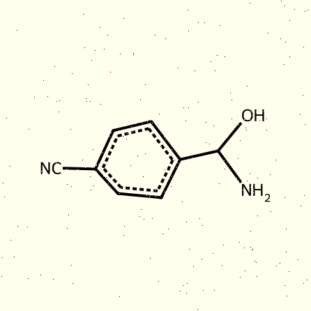 N#Cc1ccc(C(N)O)cc1